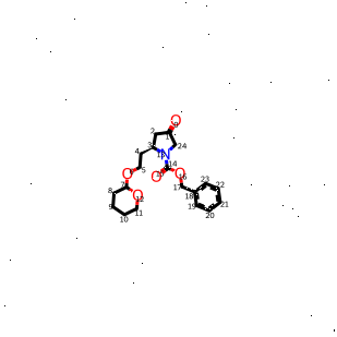 O=C1C[C@H](CCOC2CCCCO2)N(C(=O)OCc2ccccc2)C1